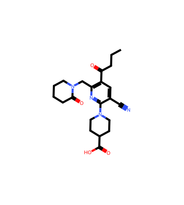 CCCC(=O)c1cc(C#N)c(N2CCC(C(=O)O)CC2)nc1CN1CCCCC1=O